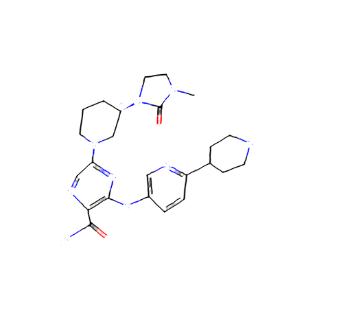 CN1CCN([C@@H]2CCCN(c3cnc(C(N)=O)c(Nc4ccc(C5CCNCC5)nc4)n3)C2)C1=O